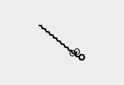 CCCCCCCCCCCCCCCCCCOC(=O)CC1CCCCC1